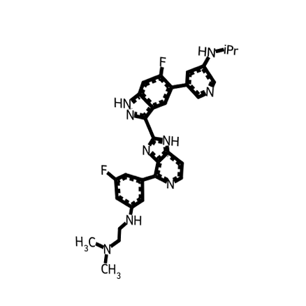 CC(C)Nc1cncc(-c2cc3c(-c4nc5c(-c6cc(F)cc(NCCN(C)C)c6)nccc5[nH]4)n[nH]c3cc2F)c1